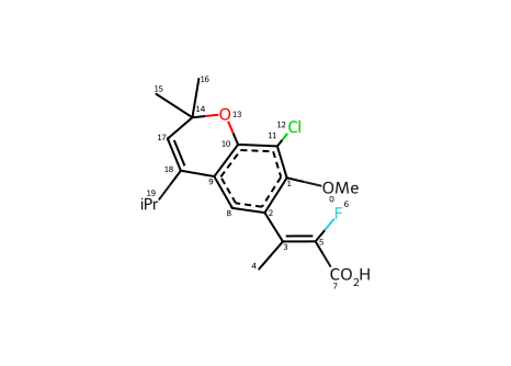 COc1c(C(C)=C(F)C(=O)O)cc2c(c1Cl)OC(C)(C)C=C2C(C)C